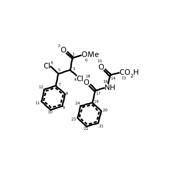 COC(=O)C(Cl)C(Cl)c1ccccc1.O=C(O)C(=O)NC(=O)c1ccccc1